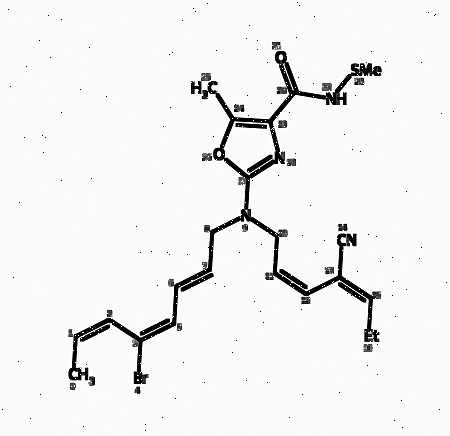 C\C=C/C(Br)=C\C=C\CN(C/C=C\C(C#N)=C/CC)c1nc(C(=O)NSC)c(C)o1